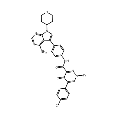 CC(C)n1cc(-c2ccc(Cl)cn2)c(=O)c(C(=O)Nc2ccc(-c3nn(C4CCOCC4)c4ncnc(N)c34)cc2)n1